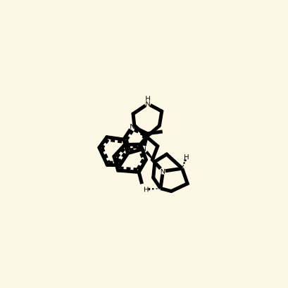 Cc1cccc(C2(CCN3[C@@H]4CC[C@H]3C[C@@H](n3c(C)nc5ccccc53)C4)CCNCC2)c1